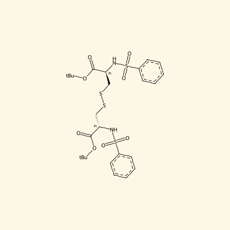 CC(C)(C)OC(=O)[C@H](CSSC[C@H](NS(=O)(=O)c1ccccc1)C(=O)OC(C)(C)C)NS(=O)(=O)c1ccccc1